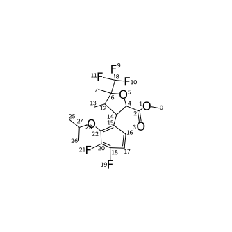 COC(=O)C1OC(C)(C(F)(F)F)C(C)C1c1ccc(F)c(F)c1OC(C)C